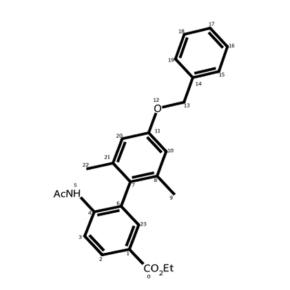 CCOC(=O)c1ccc(NC(C)=O)c(-c2c(C)cc(OCc3ccccc3)cc2C)c1